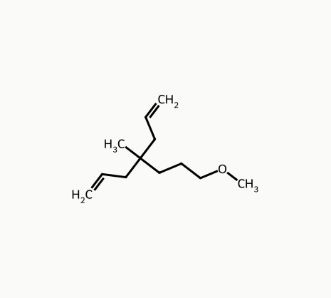 C=CCC(C)(CC=C)CCCOC